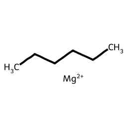 CCCCCC.[Mg+2]